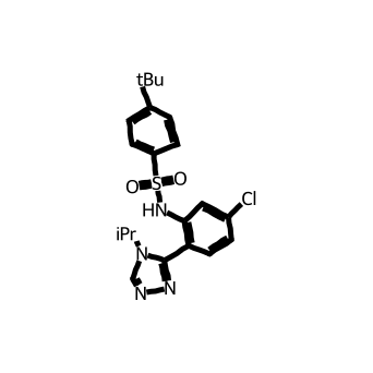 CC(C)n1cnnc1-c1ccc(Cl)cc1NS(=O)(=O)c1ccc(C(C)(C)C)cc1